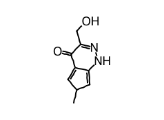 CC1C=c2[nH]nc(CO)c(=O)c2=C1